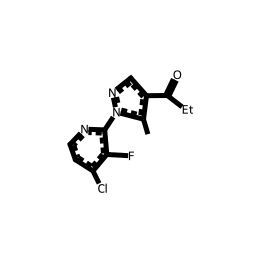 CCC(=O)c1cnn(-c2nccc(Cl)c2F)c1C